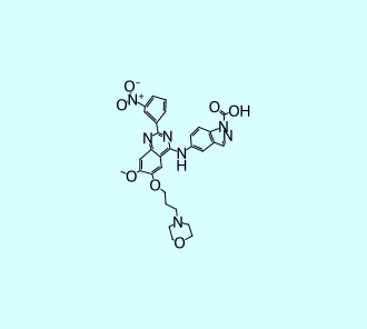 COc1cc2nc(-c3cccc([N+](=O)[O-])c3)nc(Nc3ccc4c(cnn4C(=O)O)c3)c2cc1OCCCN1CCOCC1